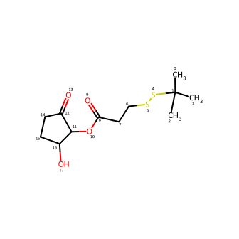 CC(C)(C)SSCCC(=O)OC1C(=O)CCC1O